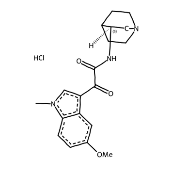 COc1ccc2c(c1)c(C(=O)C(=O)N[C@@H]1CN3CCC1CC3)cn2C.Cl